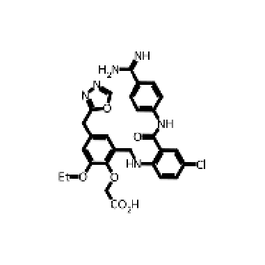 CCOc1cc(Cc2nnco2)cc(CNc2ccc(Cl)cc2C(=O)Nc2ccc(C(=N)N)cc2)c1OCC(=O)O